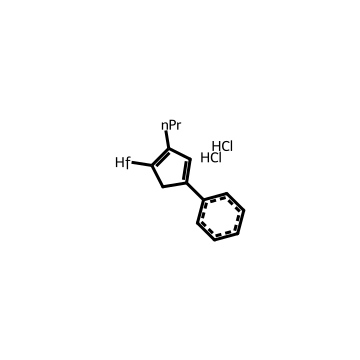 CCCC1=[C]([Hf])CC(c2ccccc2)=C1.Cl.Cl